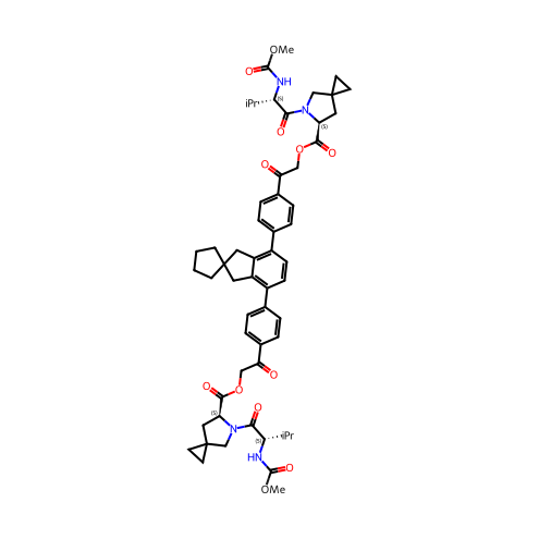 COC(=O)N[C@H](C(=O)N1CC2(CC2)C[C@H]1C(=O)OCC(=O)c1ccc(-c2ccc(-c3ccc(C(=O)COC(=O)[C@@H]4CC5(CC5)CN4C(=O)[C@@H](NC(=O)OC)C(C)C)cc3)c3c2CC2(CCCC2)C3)cc1)C(C)C